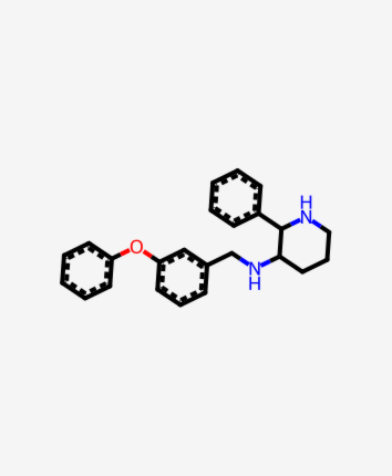 c1ccc(Oc2cccc(CNC3CCCNC3c3ccccc3)c2)cc1